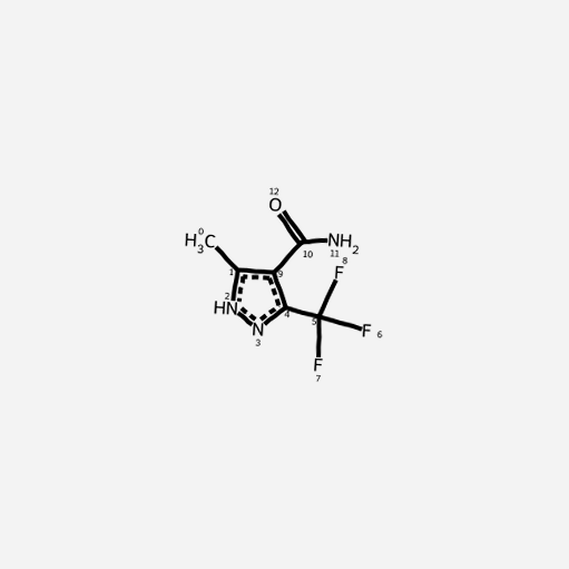 Cc1[nH]nc(C(F)(F)F)c1C(N)=O